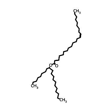 CCCCCCCC/C=C\CCCCCCCCCCCC(=O)OC(CCCCCCCC)CCCCCCCCCCC